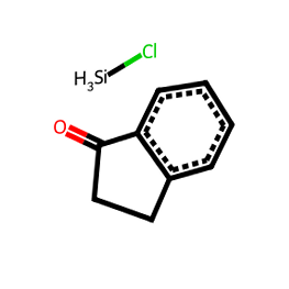 O=C1CCc2ccccc21.[SiH3]Cl